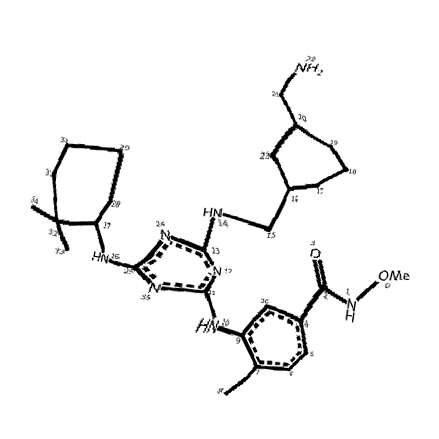 CONC(=O)c1ccc(C)c(Nc2nc(NCC3CCCC(CN)C3)nc(NC3CCCCC3(C)C)n2)c1